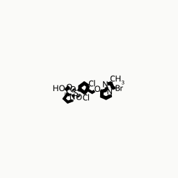 Cc1nc2c(OCc3c(Cl)ccc(S(=O)(=O)N4CCC[C@H]4C(=O)O)c3Cl)cccn2c1Br